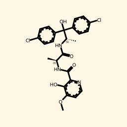 COc1ccnc(C(=O)N[C@@H](C)C(=O)N[C@@H](C)C(O)(c2ccc(Cl)cc2)c2ccc(Cl)cc2)c1O